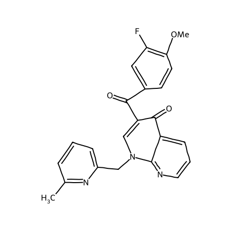 COc1ccc(C(=O)c2cn(Cc3cccc(C)n3)c3ncccc3c2=O)cc1F